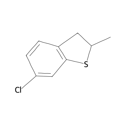 CC1Cc2ccc(Cl)cc2S1